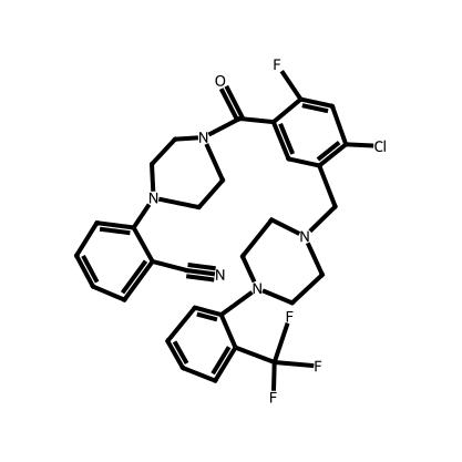 N#Cc1ccccc1N1CCN(C(=O)c2cc(CN3CCN(c4ccccc4C(F)(F)F)CC3)c(Cl)cc2F)CC1